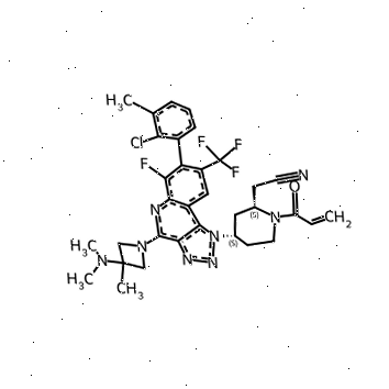 C=CC(=O)N1CC[C@H](n2nnc3c(N4CC(C)(N(C)C)C4)nc4c(F)c(-c5cccc(C)c5Cl)c(C(F)(F)F)cc4c32)C[C@H]1CC#N